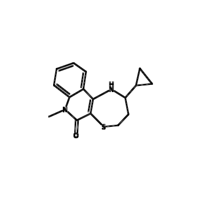 Cn1c(=O)c2c(c3ccccc31)NC(C1CC1)CCS2